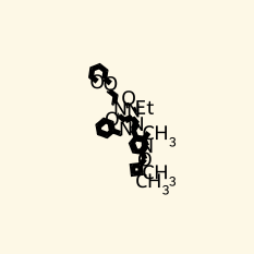 CCn1c(=O)n(CCCOC2CCCCO2)c(=O)c2c1nc(-c1ccc(OC3CCC3(C)C)nc1C)n2Cc1ccccc1